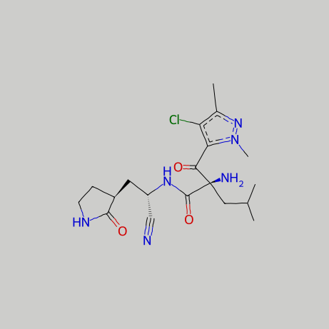 Cc1nn(C)c(C(=O)[C@](N)(CC(C)C)C(=O)N[C@H](C#N)C[C@@H]2CCNC2=O)c1Cl